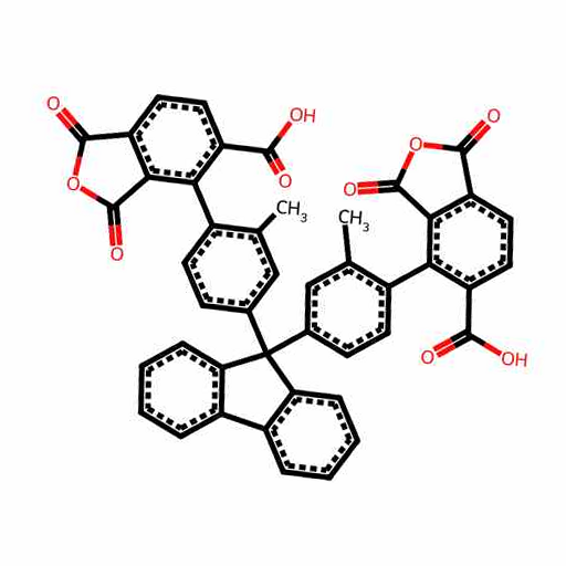 Cc1cc(C2(c3ccc(-c4c(C(=O)O)ccc5c4C(=O)OC5=O)c(C)c3)c3ccccc3-c3ccccc32)ccc1-c1c(C(=O)O)ccc2c1C(=O)OC2=O